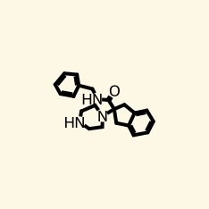 O=C(NCc1ccccc1)C1(N2CCNCC2)Cc2ccccc2C1